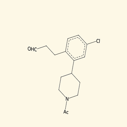 CC(=O)N1CCC(c2cc(Cl)ccc2CCC=O)CC1